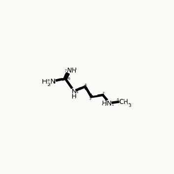 CNCCCNC(=N)N